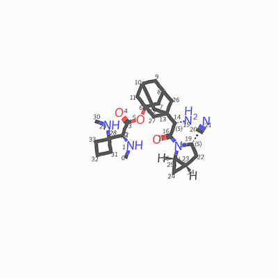 CN[C@H](C(=O)OC12CC3CC(C1)CC([C@H](N)C(=O)N1[C@H](C#N)C[C@@H]4C[C@@H]41)(C3)C2)C1(NC)CCC1